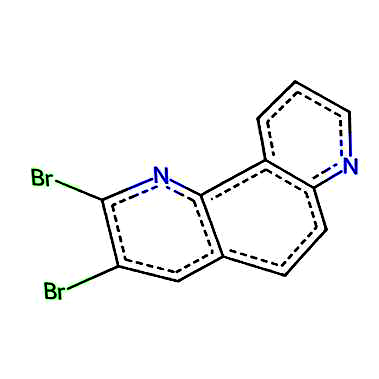 Brc1cc2ccc3ncccc3c2nc1Br